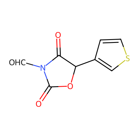 O=CN1C(=O)OC(c2ccsc2)C1=O